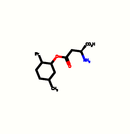 CC1CCC(C(C)C)C(OC(=O)C[C@H](N)C(=O)O)C1